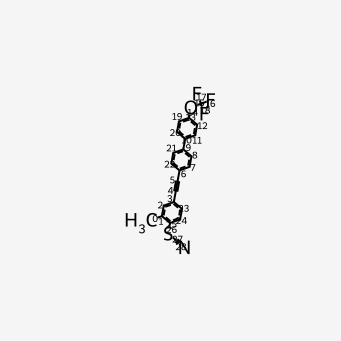 Cc1cc(C#Cc2ccc(-c3ccc(OC(F)(F)F)cc3)cc2)ccc1SC#N